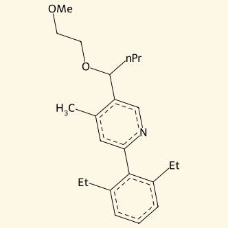 CCCC(OCCOC)c1cnc(-c2c(CC)cccc2CC)cc1C